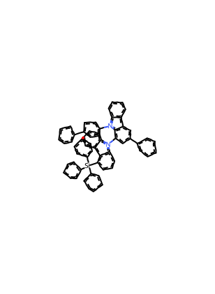 c1ccc(-c2ccc(-n3c4ccccc4c4cc(-c5ccccc5)cc(-n5c6ccccc6c6c([Si](c7ccccc7)(c7ccccc7)c7ccccc7)cccc65)c43)cc2)cc1